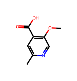 COc1cnc(C)cc1C(=O)O